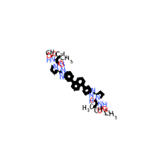 COC(=O)N[C@H](C(=O)N1CCC[C@H]1c1nc2cc(C3=CCCc4c3cccc4-c3ccc4[nH]c([C@@H]5CCCN5C(=O)[C@@H](NC(=O)OC)C(C)C)nc4c3)ccc2[nH]1)C(C)C